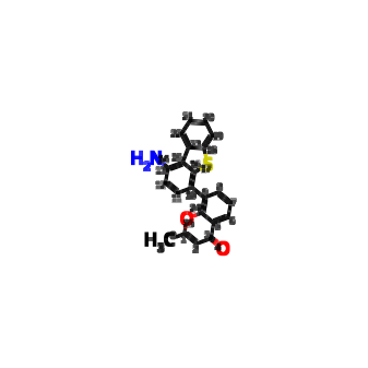 Cc1cc(=O)c2cccc(-c3ccc(N)c4c3sc3ccccc34)c2o1